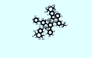 CC(C)(C)c1ccc(N2c3cc4c(oc5ccccc54)c(-c4ccc(-c5ccccc5)cc4Nc4ccc5c(c4)C(C)(C)CCC5(C)C)c3Bc3c2sc2cc4c(cc32)C(C)(C)CCC4(C)C)c(-c2ccccc2)c1